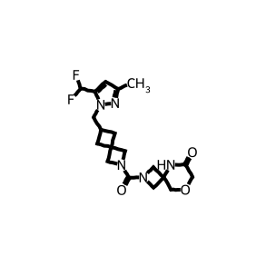 Cc1cc(C(F)F)n(CC2CC3(C2)CN(C(=O)N2CC4(COCC(=O)N4)C2)C3)n1